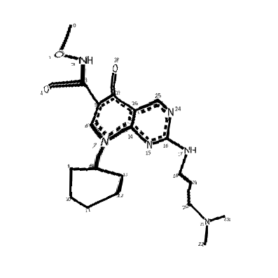 CONC(=O)c1cn(C2CCCCC2)c2nc(NCCCN(C)C)ncc2c1=O